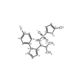 CC(C)C(NS(=O)(=O)c1ccc(Cl)s1)c1ccnn1-c1ccc(F)cc1